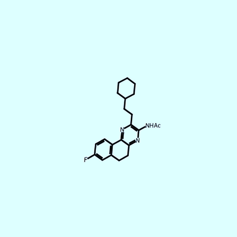 CC(=O)Nc1nc2c(nc1CCC1CCCCC1)-c1ccc(F)cc1CC2